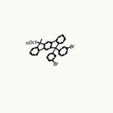 CCCCCCCCC1(C)c2ccccc2-c2cc3c(cc21)-c1ccccc1C3(c1cccc(Br)c1)c1cccc(Br)c1